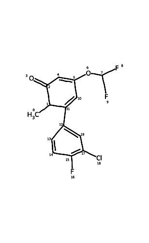 CC1C(=O)C=C(OC(F)F)C=C1c1ccc(F)c(Cl)c1